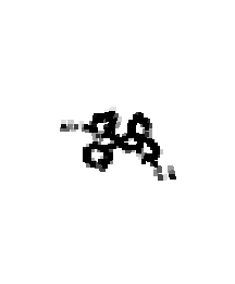 COc1cccc(C(Cc2cccc(C#N)n2)(c2cccnc2)c2cccnc2)n1